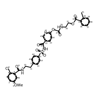 COc1ccc(Cl)c(C(=O)NCCc2ccc(S(=O)(=O)NC(=O)c3ccc(OC(=O)NCCOC(=O)c4ccccc4C)nc3)cc2)c1